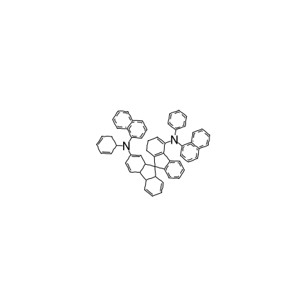 C1=CCC(N(C2=CC3C(C=C2)C2C=CC=CC2C32C3=C(C(N(c4ccccc4)c4cccc5ccccc45)=CCC3)c3ccccc32)c2cccc3ccccc23)C=C1